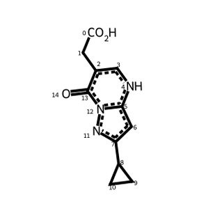 O=C(O)Cc1c[nH]c2cc(C3CC3)nn2c1=O